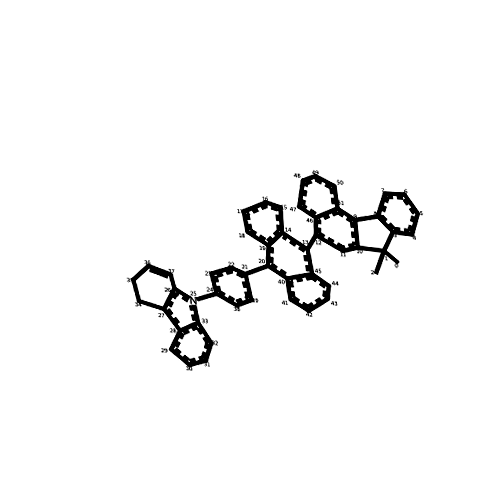 CC1(C)c2ccccc2-c2c1cc(-c1c3ccccc3c(-c3ccc(-n4c5c(c6ccccc64)CCC=C5)cc3)c3ccccc13)c1ccccc21